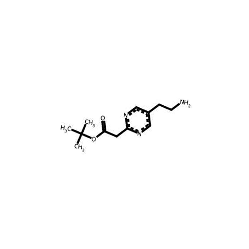 CC(C)(C)OC(=O)Cc1ncc(CCN)cn1